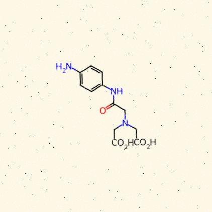 Nc1ccc(NC(=O)CN(CC(=O)O)CC(=O)O)cc1